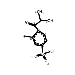 CC(O)C(=O)c1ccc(S(=O)(=O)Cl)cc1F